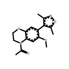 COc1cc2c(cc1-c1c(C)noc1C)OCCN2C(C)=O